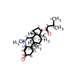 CC(C)CC(=O)[C@H]1CC[C@H]2[C@@H]3CN(C)C4=CC(=O)CC[C@]4(C)[C@H]3CC[C@]12C